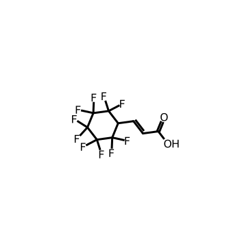 O=C(O)C=CC1C(F)(F)C(F)(F)C(F)(F)C(F)(F)C1(F)F